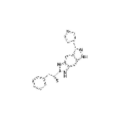 S=C(Cc1ccccc1)c1nc2cc3c(-c4ccncc4)n[nH]c3cc2[nH]1